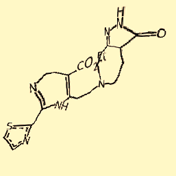 CCOC(=O)C1=C(CN2CCC3C(=O)NN=C3C2)NC(c2nccs2)=NC1